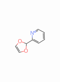 C1=COC(c2ccccn2)O1